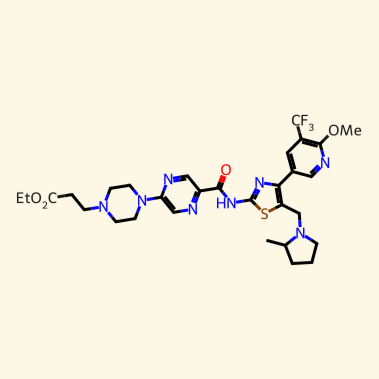 CCOC(=O)CCN1CCN(c2cnc(C(=O)Nc3nc(-c4cnc(OC)c(C(F)(F)F)c4)c(CN4CCCC4C)s3)cn2)CC1